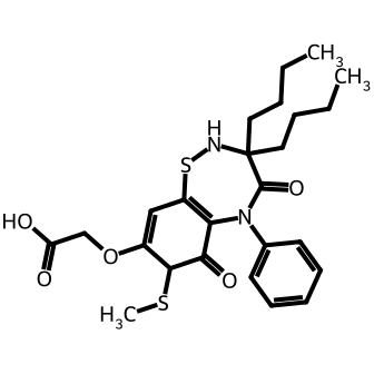 CCCCC1(CCCC)NSC2=C(C(=O)C(SC)C(OCC(=O)O)=C2)N(c2ccccc2)C1=O